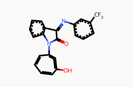 O=C1/C(=N\c2cccc(C(F)(F)F)c2)c2ccccc2N1C1=C=C(O)C=CC=C1